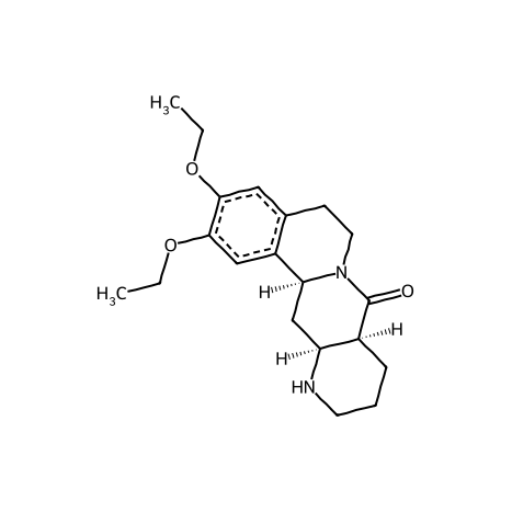 CCOc1cc2c(cc1OCC)[C@@H]1C[C@@H]3NCCC[C@@H]3C(=O)N1CC2